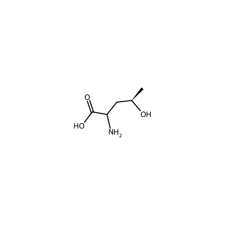 C[C@@H](O)CC(N)C(=O)O